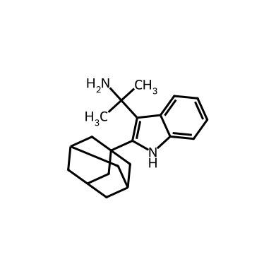 CC(C)(N)c1c(C23CC4CC(CC(C4)C2)C3)[nH]c2ccccc12